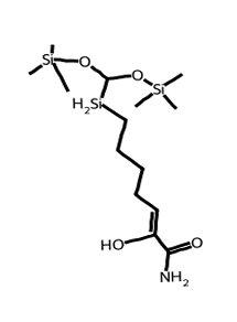 C[Si](C)(C)OC(O[Si](C)(C)C)[SiH2]CCCCC=C(O)C(N)=O